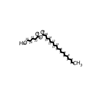 CCCCCCCCCCCCCCCCCC(=O)OC(=O)CCCCO